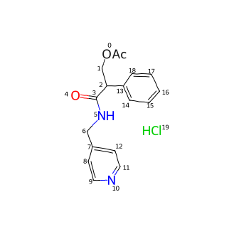 CC(=O)OCC(C(=O)NCc1ccncc1)c1ccccc1.Cl